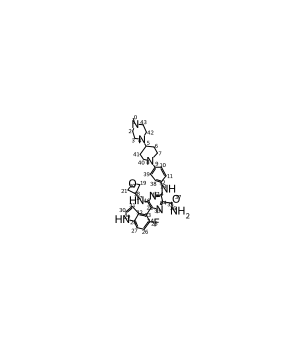 CN1CCN(C2CCN(c3ccc(Nc4nc(NC5COC5)c(-c5c(F)ccc6[nH]ccc56)nc4C(N)=O)cc3)CC2)CC1